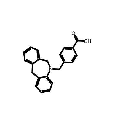 O=C(O)c1ccc(CN2Cc3ccccc3Cc3ccccc32)cc1